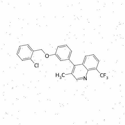 Cc1cnc2c(C(F)(F)F)cccc2c1-c1cccc(OCc2ccccc2Cl)c1